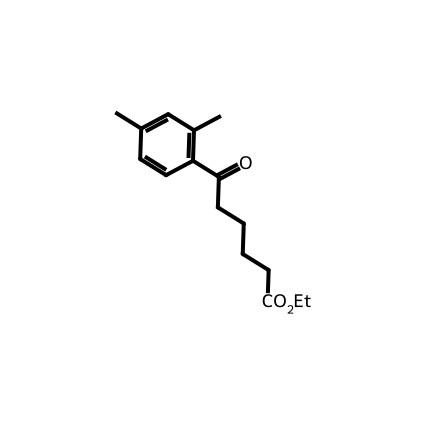 CCOC(=O)CCCCC(=O)c1ccc(C)cc1C